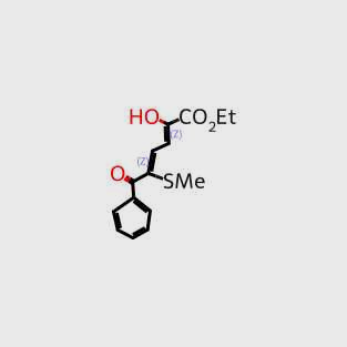 CCOC(=O)/C(O)=C/C=C(\SC)C(=O)c1ccccc1